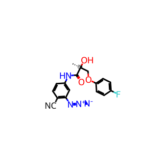 C[C@](O)(COc1ccc(F)cc1)C(=O)Nc1ccc(C#N)c(N=[N+]=[N-])c1